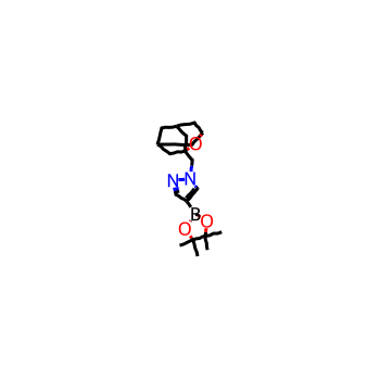 CC1(C)OB(c2cnn(CC34CC5CC(CC(C5)O3)C4)c2)OC1(C)C